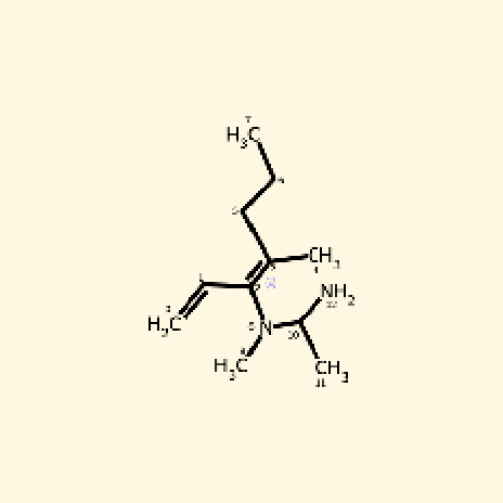 C=C/C(=C(/C)CCC)N(C)C(C)N